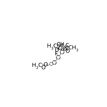 C=CC(=O)OCC1Cc2ccc(-c3ccc(-c4ccc(OC(=O)C(=C)C)c(OC(=O)C(=C)C)c4)c(F)c3)cc2C1